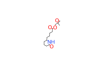 CC1(COC(=O)CCCCC2CCCC(=O)N2)CO1